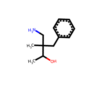 CC(O)C(C)(CN)Cc1ccccc1